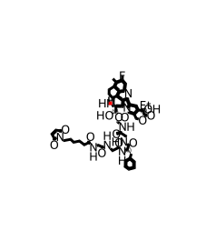 CC[C@@]1(O)C(=O)OCc2c1cc1c3nc4cc(F)c(C)c5c4c4c3c(n1c2=O)=C([C@@H](O)OCNC(=O)CNC(=O)[C@H](Cc1ccccc1)NC(=O)CNC(=O)CNC(=O)CCCCCN1C(=O)C=CC1=O)N[C@H]4CC5